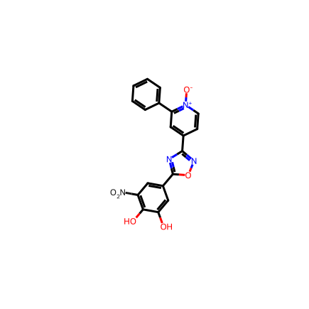 O=[N+]([O-])c1cc(-c2nc(-c3cc[n+]([O-])c(-c4ccccc4)c3)no2)cc(O)c1O